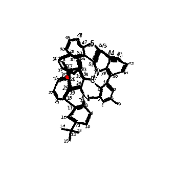 Cc1cc2c3c(c1)N(c1ccc(C(C)(C)C)cc1-c1ccccc1)c1ccc4sc5ccccc5c4c1B3n1c3c-2cccc3c2sc3ccccc3c21